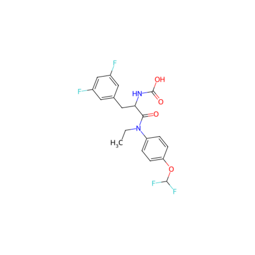 CCN(C(=O)C(Cc1cc(F)cc(F)c1)NC(=O)O)c1ccc(OC(F)F)cc1